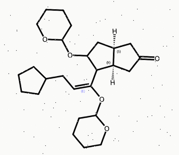 O=C1C[C@@H]2CC(OC3CCCCO3)C(/C(=C\CC3CCCC3)OC3CCCCO3)[C@@H]2C1